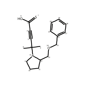 CC(C)(C#CC(O)=S)N1CCCC1COCc1ccccc1